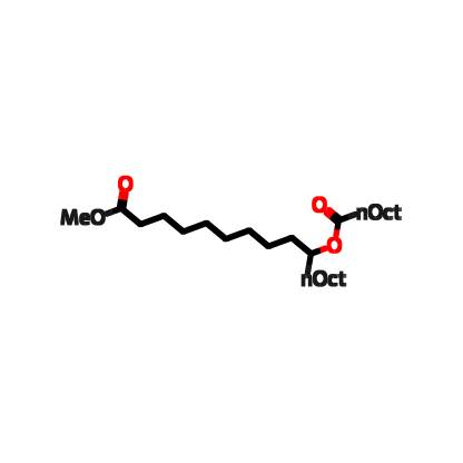 CCCCCCCCC(=O)OC(CCCCCCCC)CCCCCCCCC(=O)OC